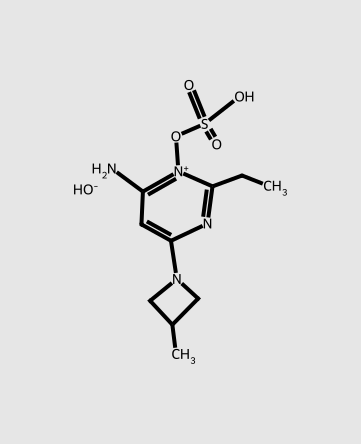 CCc1nc(N2CC(C)C2)cc(N)[n+]1OS(=O)(=O)O.[OH-]